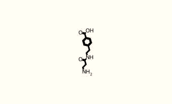 NCCC(=O)NCCc1ccc(C(=O)O)cc1